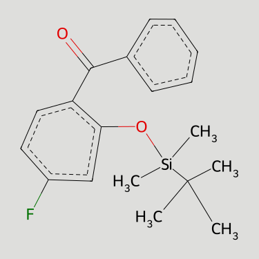 CC(C)(C)[Si](C)(C)Oc1cc(F)ccc1C(=O)c1ccccc1